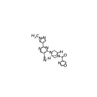 Cn1cc(-c2ncc(C#N)c(N3C[C@H]4C[C@H]3CN4C(=O)c3cocn3)n2)cn1